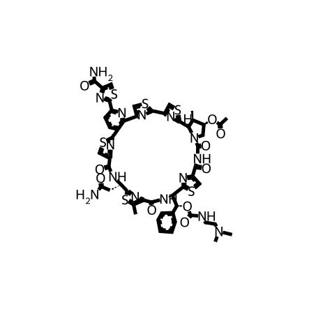 CC(=O)O[C@H]1CN2C(=O)NC(=O)c3csc(n3)[C@H]([C@H](OC(=O)NCCN(C)C)c3ccccc3)NC(=O)c3nc(sc3C)[C@H](CC(N)=O)NC(=O)c3csc(n3)-c3ccc(-c4nc(C(N)=O)cs4)nc3-c3csc(n3)-c3csc(n3)[C@@H]2[C@H]1C